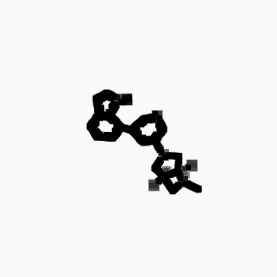 CN1C[C@@H]2CN(c3cncc(-c4cccc5cc[nH]c45)c3)C[C@H]21